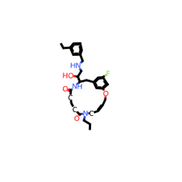 CCCN1CC=CCOc2cc(F)cc(c2)CC(C(O)CNCc2cccc(CC)c2)NC(=O)CCCC1=O